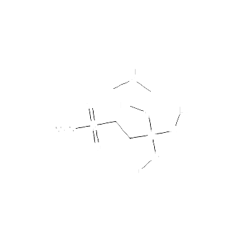 CCO[Si](CCS(=O)(=O)NC)(OCC)OCC.CPC